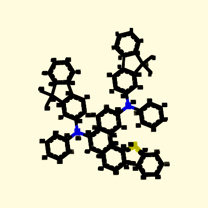 CC1(C)c2ccccc2-c2ccc(N(c3ccccc3)c3ccc4c(N(c5ccccc5)c5ccc6c(c5)C(C)(C)c5ccccc5-6)cc5ccc6c7ccccc7sc6c5c4c3)cc21